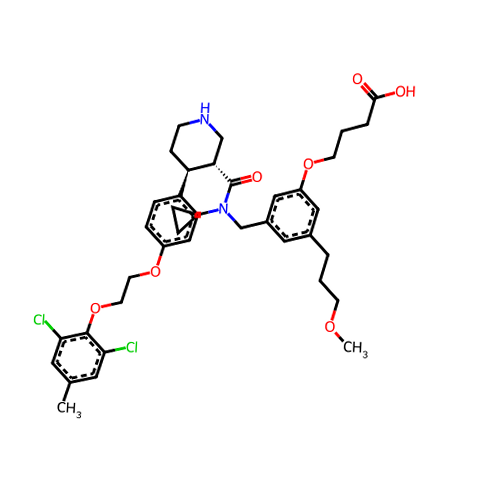 COCCCc1cc(CN(C(=O)[C@H]2CNCC[C@@H]2c2ccc(OCCOc3c(Cl)cc(C)cc3Cl)cc2)C2CC2)cc(OCCCC(=O)O)c1